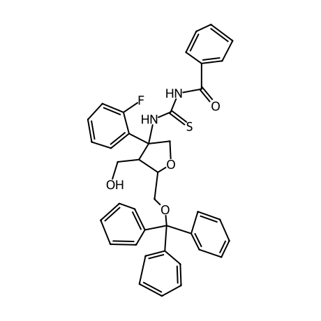 O=C(NC(=S)NC1(c2ccccc2F)COC(COC(c2ccccc2)(c2ccccc2)c2ccccc2)C1CO)c1ccccc1